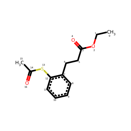 CCOC(=O)CCc1ccccc1SC(C)=O